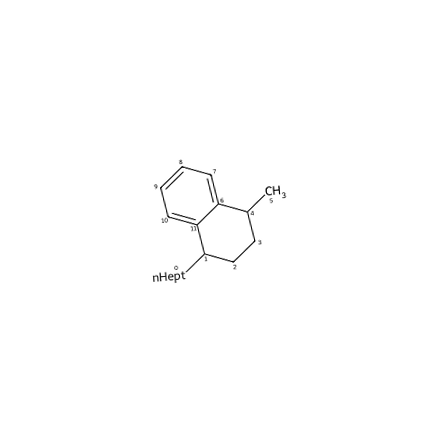 CCCCCCCC1CCC(C)c2ccccc21